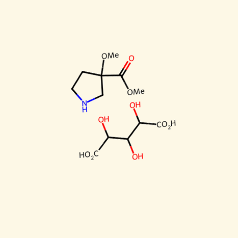 COC(=O)C1(OC)CCNC1.O=C(O)C(O)C(O)C(O)C(=O)O